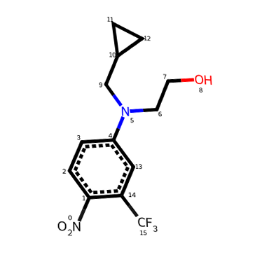 O=[N+]([O-])c1ccc(N(CCO)CC2CC2)cc1C(F)(F)F